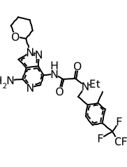 CCN(Cc1ccc(C(F)(F)C(F)(F)F)cc1C)C(=O)C(=O)Nc1cnc(N)c2cn(C3CCCCO3)nc12